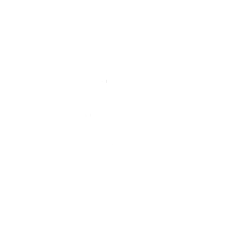 CC1(c2ccccc2P(C(C)(C)C)C(C)(C)C)OCCO1